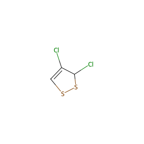 ClC1=CSSC1Cl